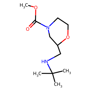 COC(=O)N1CCOC(CNC(C)(C)C)C1